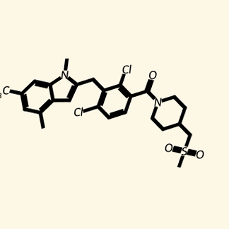 Cc1cc(C(F)(F)F)cc2c1cc(Cc1c(Cl)ccc(C(=O)N3CCC(CS(C)(=O)=O)CC3)c1Cl)n2C